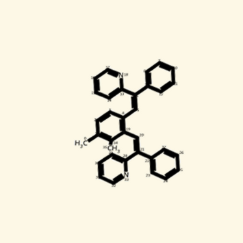 Cc1ccc(C=C(c2ccccc2)c2ccccn2)c(C=C(c2ccccc2)c2ccccn2)c1C